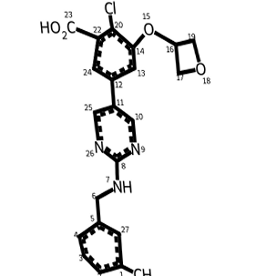 Cc1cccc(CNc2ncc(-c3cc(OC4COC4)c(Cl)c(C(=O)O)c3)cn2)c1